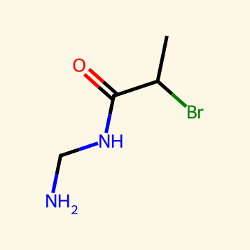 CC(Br)C(=O)NCN